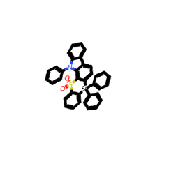 O=S1(=O)c2ccccc2[Si](c2ccccc2)(c2ccccc2)c2ccc3c4ccccc4n(-c4ccccc4)c3c21